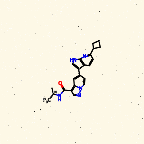 C[C@@H](NC(=O)c1cnn2ccc(-c3c[nH]c4nc(C5CCC5)ccc34)cc12)C(F)(F)F